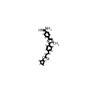 Cn1cc(-c2ccc(C(=N)N)cc2)nc1-c1ccc(CCC(=O)OC2CCCC2)cc1